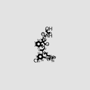 C=C(CN1C(=O)C2(CN(C(=O)NC(C)CO)C2)c2ccccc21)N(CCCS(C)(=O)=O)c1ccc(Cl)cc1C